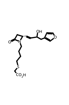 O=C(O)CSCCCCN1C(=O)C[C@@H]1/C=C/C(O)Cc1ccoc1